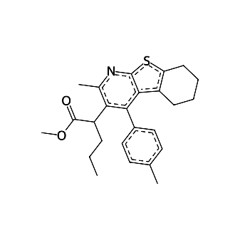 CCCC(C(=O)OC)c1c(C)nc2sc3c(c2c1-c1ccc(C)cc1)CCCC3